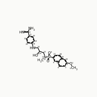 COc1ccc2cc(S(=O)(=O)N(C)CC(O)CNc3ccc(C(=N)N)cc3)ccc2c1